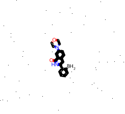 Bc1ccccc1-c1cc2ccc(N3CCOCC3)cc2c(=O)[nH]1